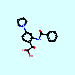 O=C(O)C(=O)c1ccc(-n2cccc2)cc1NC(=O)c1ccccc1